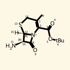 CC1=C(C(=O)OC(C)(C)C)N2C(=O)[C@@H](N)[C@H]2SC1